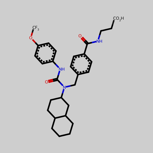 O=C(O)CCNC(=O)c1ccc(CN(C(=O)Nc2ccc(OC(F)(F)F)cc2)C2CCC3CCCCC3C2)cc1